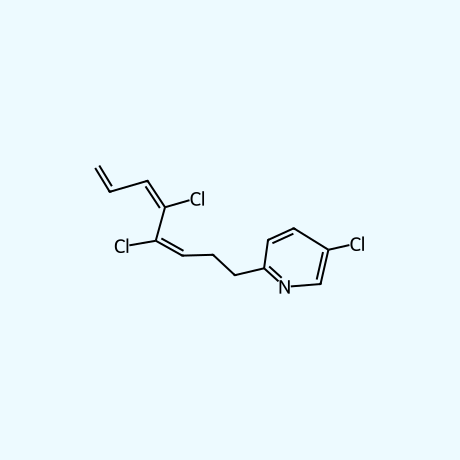 C=C/C=C(Cl)\C(Cl)=C/CCc1ccc(Cl)cn1